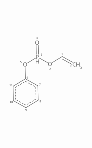 C=CO[PH](=O)Oc1ccccc1